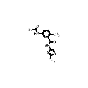 CCCCC(=O)Nc1ccc(C)c(C(=O)Nc2cnc(C)s2)c1